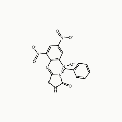 O=c1[nH]s/c(=N/c2c([N+](=O)[O-])cc([N+](=O)[O-])cc2[N+](=O)[O-])n1Cc1ccccc1